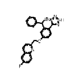 CC(C)(C)C(c1ccccc1)c1cc(OCc2ccc3cc(F)ccc3n2)ccc1-c1nn[nH]n1